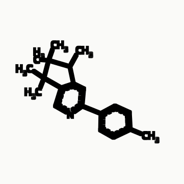 Cc1ccc(-c2cc3c(cn2)C(C)(C)C(C)(C)C3C)cc1